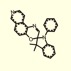 CC1(C)c2ccccc2N(c2ccccc2)C12C=Nc1c(ccc3cnccc13)O2